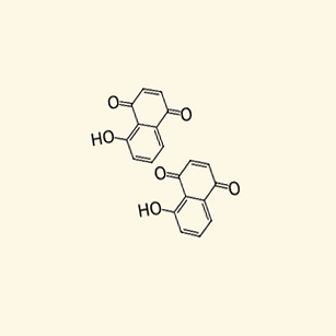 O=C1C=CC(=O)c2c(O)cccc21.O=C1C=CC(=O)c2c(O)cccc21